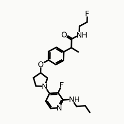 CCCNc1nccc(N2CCC(Oc3ccc(C(C)C(=O)NCCF)cc3)C2)c1F